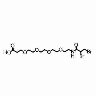 O=C(O)CCOCCOCCOCCOCCNC(=O)C(Br)CBr